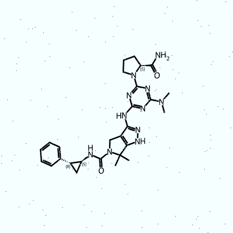 CN(C)c1nc(Nc2n[nH]c3c2CN(C(=O)N[C@H]2C[C@@H]2c2ccccc2)C3(C)C)nc(N2CCC[C@H]2C(N)=O)n1